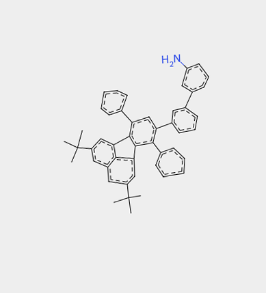 CC(C)(C)c1cc2c3c(cc(C(C)(C)C)cc3c1)-c1c(-c3ccccc3)c(-c3cccc(-c4cccc(N)c4)c3)cc(-c3ccccc3)c1-2